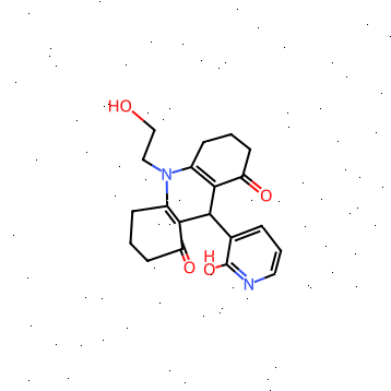 O=C1CCCC2=C1C(c1cccnc1O)C1=C(CCCC1=O)N2CCO